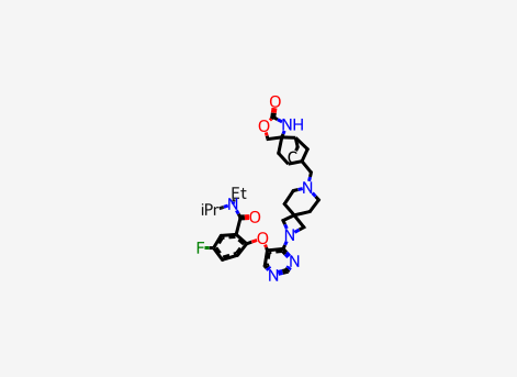 CCN(C(=O)c1cc(F)ccc1Oc1cncnc1N1CC2(CCN(CC3CC4CCC3CC43COC(=O)N3)CC2)C1)C(C)C